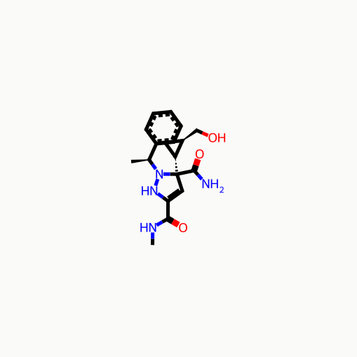 CNC(=O)C1=CC(C(N)=O)([C@@H]2C[C@H]2CO)N([C@@H](C)c2ccccc2)N1